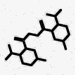 C=C(CCC(=C)C1CC(C)CCC1C(C)C)C1CC(C)CCC1C(C)C